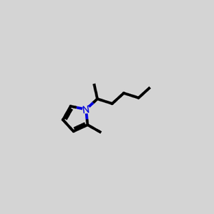 CCCCC(C)n1cccc1C